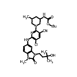 CC1CC(NC(=O)OC(C)(C)C)CN(c2nc(Nc3ccc4c(c3)n(CCC(C)(C)O)c(=O)n4C)c(Cl)cc2C#N)C1